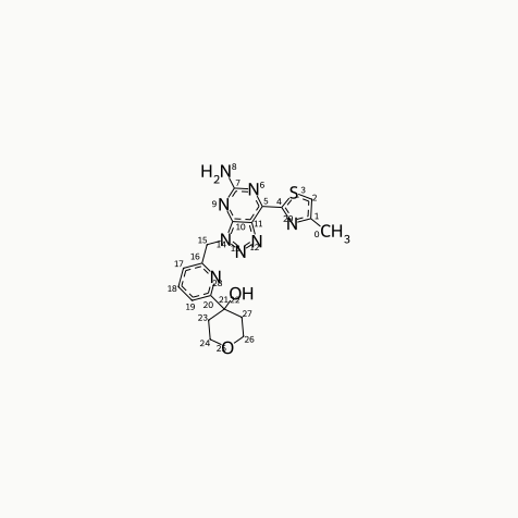 Cc1csc(-c2nc(N)nc3c2nnn3Cc2cccc(C3(O)CCOCC3)n2)n1